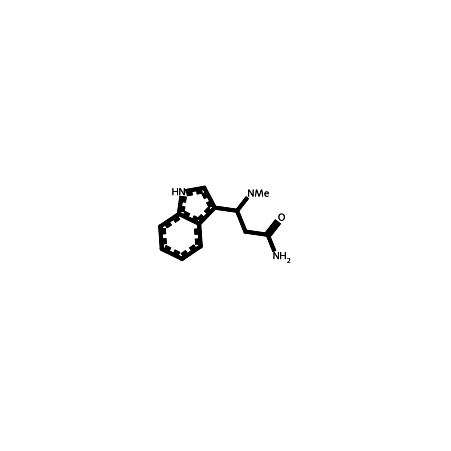 CNC(CC(N)=O)c1c[nH]c2ccccc12